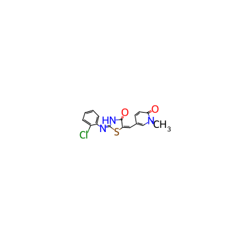 Cn1cc(C=C2SC(=Nc3ccccc3Cl)NC2=O)ccc1=O